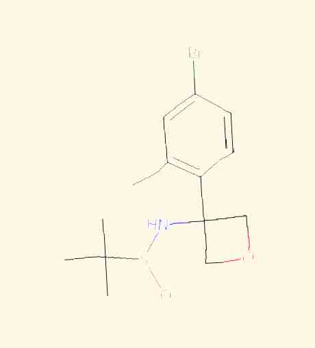 Cc1cc(Br)ccc1C1(N[S+]([O-])C(C)(C)C)COC1